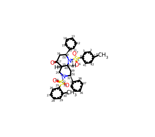 Cc1ccc(S(=O)(=O)N2[C@H](c3ccccc3)CC(=O)[C@@H]3CN(S(=O)(=O)c4ccccc4C)[C@H](c4ccccc4)C[C@@H]32)cc1